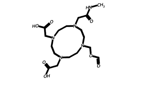 CNC(=O)CN1CCN(COC=O)CCN(CC(=O)O)CCN(CC(=O)O)CC1